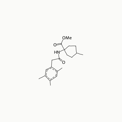 COC(=O)C1(NC(=O)Cc2cc(C)c(C)cc2C)CCC(C)CC1